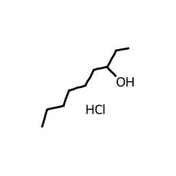 CCCCCCC(O)CC.Cl